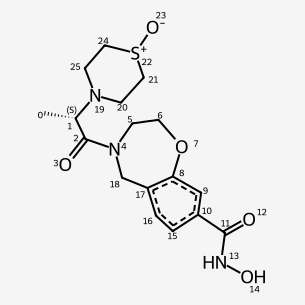 C[C@@H](C(=O)N1CCOc2cc(C(=O)NO)ccc2C1)N1CC[S+]([O-])CC1